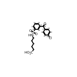 O=C(O)CCCCCNS(=O)(=O)c1cccc(C(=O)c2ccc(Cl)cc2)c1